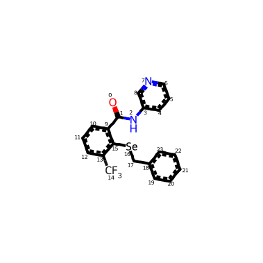 O=C(Nc1cccnc1)c1cccc(C(F)(F)F)c1[Se]Cc1ccccc1